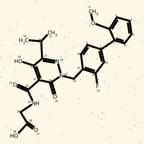 COc1ccccc1-c1ccc(Cn2nc(C(C)C)c(O)c(C(=O)NCC(=O)O)c2=O)c(F)c1